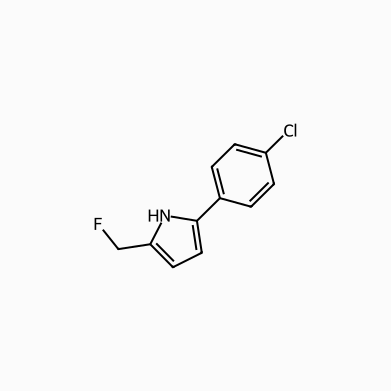 FCc1ccc(-c2ccc(Cl)cc2)[nH]1